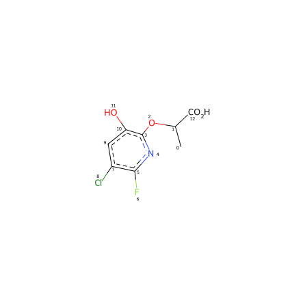 CC(Oc1nc(F)c(Cl)cc1O)C(=O)O